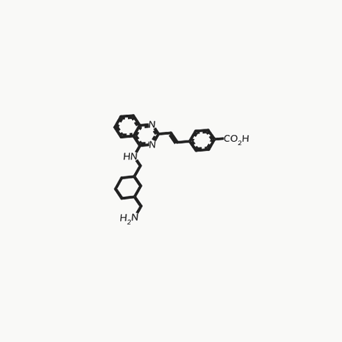 NCC1CCCC(CNc2nc(C=Cc3ccc(C(=O)O)cc3)nc3ccccc23)C1